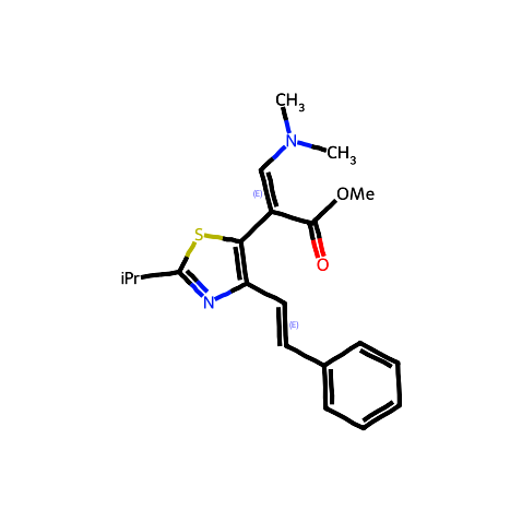 COC(=O)/C(=C\N(C)C)c1sc(C(C)C)nc1/C=C/c1ccccc1